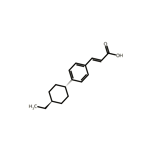 CC[C@H]1CC[C@H](c2ccc(C=CC(=O)O)cc2)CC1